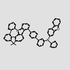 CC1(C)c2cccc3c2-c2c1ccc1c4c(-c5ccc(-c6cccc(N(c7ccccc7)c7ccc8c(c7)oc7ccccc78)c6)cc5)cccc4n(c21)-c1ccccc1-3